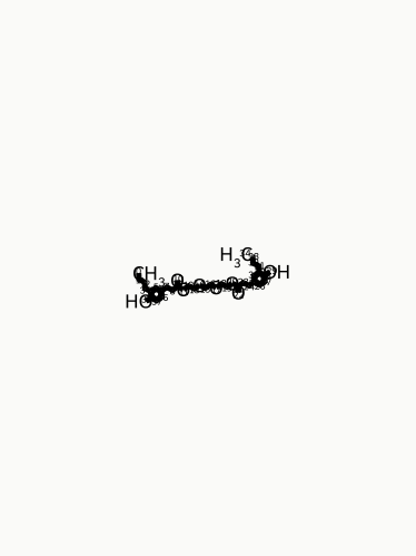 CCCCc1cc(CCC(=O)OCCOCCOCCOC(=O)CCc2ccc(O)c(CCCC)c2)ccc1O